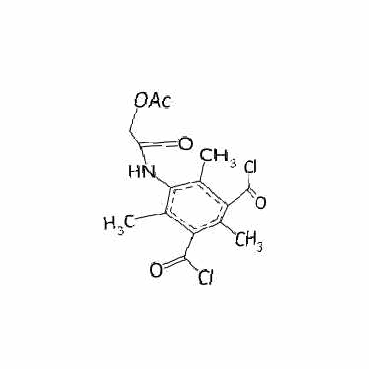 CC(=O)OCC(=O)Nc1c(C)c(C(=O)Cl)c(C)c(C(=O)Cl)c1C